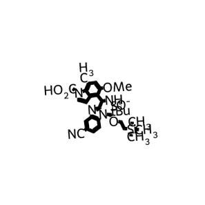 COc1cc(C)c2c(ccn2C(=O)O)c1C(N[S+]([O-])C(C)(C)C)c1nc2cc(C#N)ccc2n1COCC[Si](C)(C)C